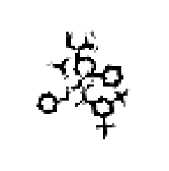 C[C@@H](OC[C@@]1(c2ccccc2)CC[C@](CC(=O)O)(N(C=N)C(N)=O)CN1C(=O)OCc1ccccc1)c1cc(C(F)(F)F)cc(C(F)(F)F)c1